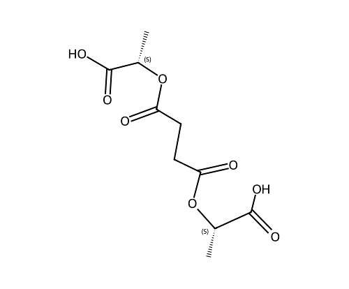 C[C@H](OC(=O)CCC(=O)O[C@@H](C)C(=O)O)C(=O)O